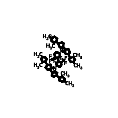 Cc1ccc(-c2ccc3c4ccc(-c5ccc(C)cc5C)cc4n(-c4ccc(C(F)(F)F)c(-c5cc(-n6c7cc(-c8ccc(C)cc8C)ccc7c7ccc(-c8ccc(C)cc8C)cc76)ccc5C(F)(F)F)c4)c3c2)c(C)c1